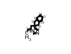 CCCCC1(c2cnc[nH]2)Cc2ccccc2C1